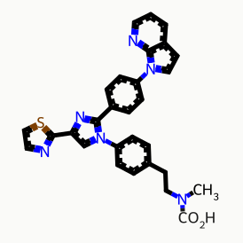 CN(CCc1ccc(-n2cc(-c3nccs3)nc2-c2ccc(-n3ccc4cccnc43)cc2)cc1)C(=O)O